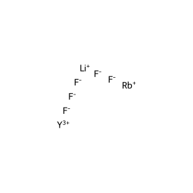 [F-].[F-].[F-].[F-].[F-].[Li+].[Rb+].[Y+3]